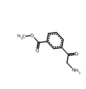 COC(=O)c1cccc(C(=O)CN)c1